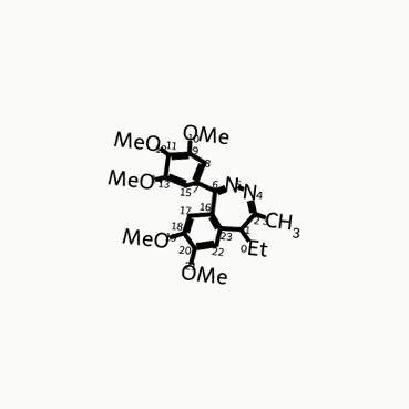 CCC1C(C)=NN=C(c2cc(OC)c(OC)c(OC)c2)c2cc(OC)c(OC)cc21